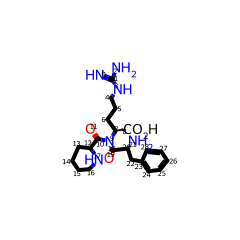 N=C(N)NCCC[C@@H](C(=O)O)N(C(=O)C1CCCCN1)C(=O)[C@H](N)Cc1ccccc1